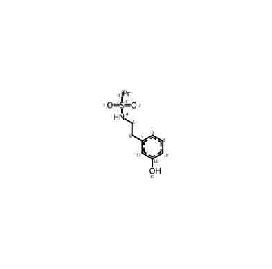 CC(C)S(=O)(=O)NCCc1cccc(O)c1